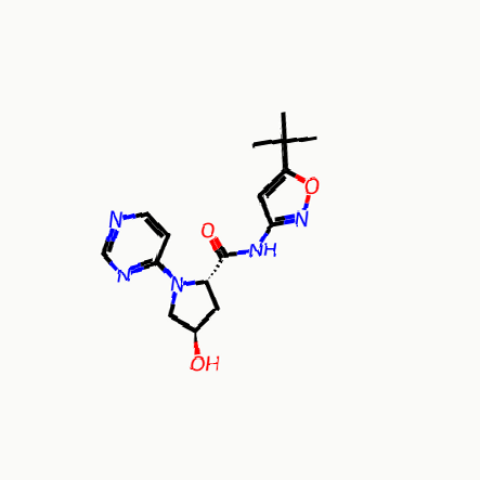 CC(C)(C)c1cc(NC(=O)[C@@H]2C[C@@H](O)CN2c2ccncn2)no1